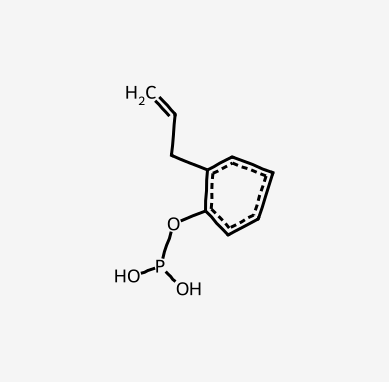 C=CCc1ccccc1OP(O)O